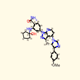 COc1ccc(-c2cn(-c3ccnc4c3c(C(C)C)nn4-c3ccc(C(N)=O)c(NC4(O)CCCCC4)c3)cn2)cc1